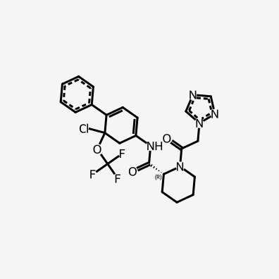 O=C(NC1=CC=C(c2ccccc2)C(Cl)(OC(F)(F)F)C1)[C@H]1CCCCN1C(=O)Cn1cncn1